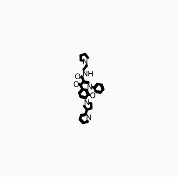 O=C(NCCN1CCCC1)c1cn2c3c(c(N4CCC(c5ccccn5)C4)ccc3c1=O)Oc1ccccc1-2